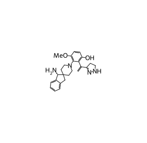 C=C(C1=NNCC1)c1c(O)ccc(OC)c1N1CCC2(CC1)Cc1ccccc1[C@H]2N